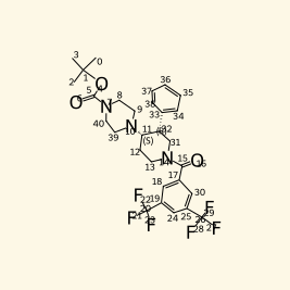 CC(C)(C)OC(=O)N1CCN([C@H]2CCN(C(=O)c3cc(C(F)(F)F)cc(C(F)(F)F)c3)C[C@H]2c2ccccc2)CC1